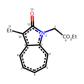 CCOC(=O)Cn1c2cccccc-2c(CC)c1=O